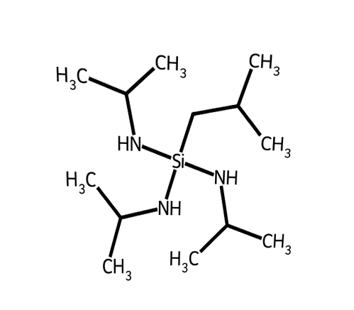 CC(C)C[Si](NC(C)C)(NC(C)C)NC(C)C